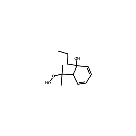 CCCC1(O)C=CC=CC1C(C)(C)OO